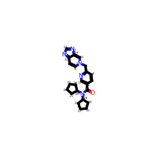 O=C(c1ccc(Cn2ccc3ncnc-3c2)nc1)N(C1CCCC1)C1CCCC1